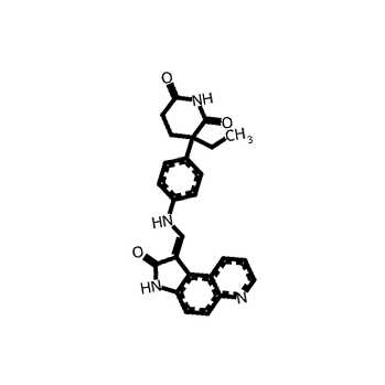 CCC1(c2ccc(NC=C3C(=O)Nc4ccc5ncccc5c43)cc2)CCC(=O)NC1=O